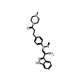 C=NN(/C=C(\N)c1n[nH]c2ccccc12)c1ccc(CCC(=O)N2CCN(C)CC2)cc1